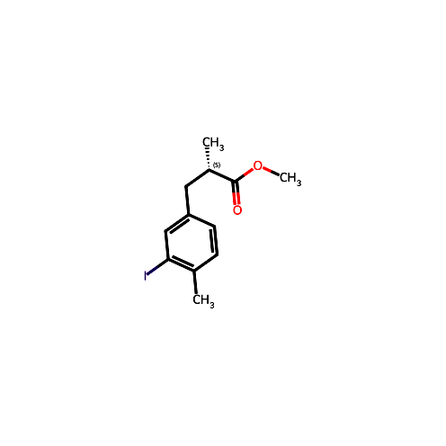 COC(=O)[C@@H](C)Cc1ccc(C)c(I)c1